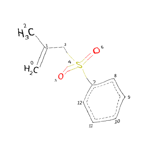 C=C(C)CS(=O)(=O)c1ccccc1